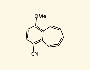 COc1ccc(C#N)c2c1C=CC=C=C2